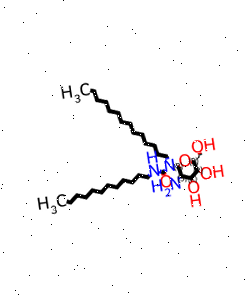 CCCCCCCCCCCCCCN(C(=O)NCCCCCCCCCCCC)[C@@H]1O[C@H](CO)[C@H](O)[C@H](O)[C@@H]1N